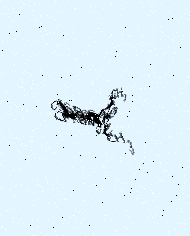 CCCCn1c(=O)c2nn(S(=O)(=O)c3cc(Cl)c(Cl)s3)cc2n(CCCC)c1=O